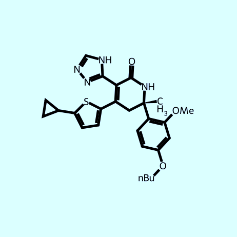 CCCCOc1ccc([C@]2(C)CC(c3ccc(C4CC4)s3)=C(c3nnc[nH]3)C(=O)N2)c(OC)c1